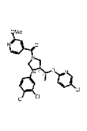 COc1cc(C(=O)N2C[C@@H]([C@H](C)Oc3ccc(Cl)cn3)[C@@H](c3ccc(Cl)c(Cl)c3)C2)ccn1